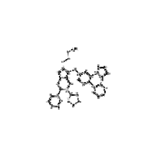 CCCCc1nc2cc(-c3cccnc3)c(C3OCCO3)nc2n1Cc1ccc(-c2ccccc2)c(-c2nnn[nH]2)c1